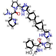 CN(C)C(C(=O)N1CCC[C@H]1c1ncc(-c2ccc(-c3ccc(-c4cnc([C@@H]5CCCN5C(=O)[C@H](NC(=O)O)c5ccccc5)[nH]4)cc3)cc2)[nH]1)c1ccccn1